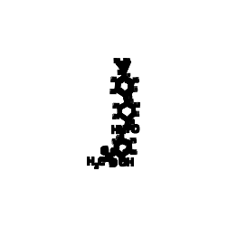 CS(=O)(=O)c1cc(NC(=O)C2CCC(c3ccc(C4CC4)cc3)CC2)ccc1O